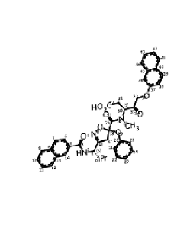 CC(C)[C@H](NC(=O)c1ccc2ccccc2c1)C1=NOC(Oc2ccccc2)(C(=O)N(C)[C@@H](CC(=O)O)C(=O)COc2ccc3ccccc3c2)C1